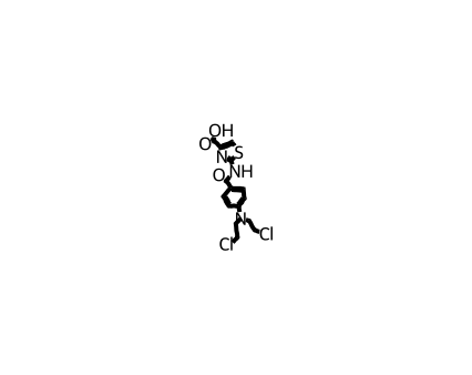 O=C(Nc1nc(C(=O)O)cs1)c1ccc(N(CCCl)CCCl)cc1